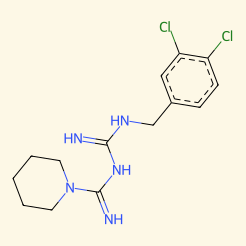 N=C(NCc1ccc(Cl)c(Cl)c1)NC(=N)N1CCCCC1